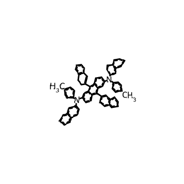 Cc1ccc(N(c2ccc3ccccc3c2)c2ccc3c(-c4ccc5ccccc5c4)c4cc(N(c5ccc(C)cc5)c5ccc6ccccc6c5)ccc4c(C4=Cc5ccccc5CC4)c3c2)cc1